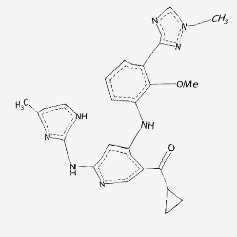 COc1c(Nc2cc(Nc3nc(C)c[nH]3)ncc2C(=O)C2CC2)cccc1-c1ncn(C)n1